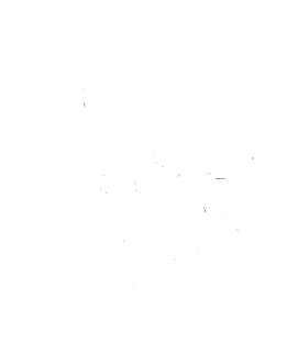 Cc1sc(C(=O)c2cncnc2N[C@H]2C[C@@H](CO[Si](C)(C)C(C)(C)C)[C@@H](C(C(=O)O)c3ccc(OP(=O)(OC(C)(C)C)OC(C)(C)C)cc3)C2)cc1[C@@H]1OCCc2ccc(Cl)cc21